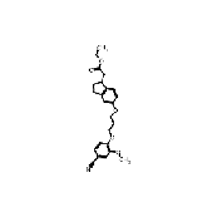 CCOC(=O)C[C@@H]1CCc2cc(OCCCOc3ccc(C#N)cc3OC)ccc21